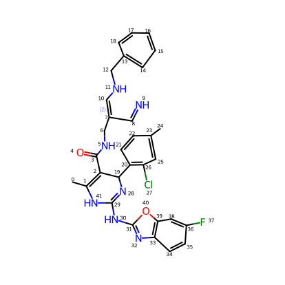 CC1=C(C(=O)NC/C(C=N)=C/NCc2ccccc2)C(c2ccc(C)cc2Cl)N=C(Nc2nc3ccc(F)cc3o2)N1